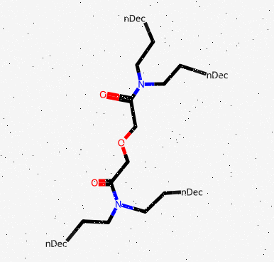 CCCCCCCCCCCCN(CCCCCCCCCCCC)C(=O)COCC(=O)N(CCCCCCCCCCCC)CCCCCCCCCCCC